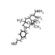 CC(C)=CCN(CC(C)(C)CC(C)CC(N)CN)c1ccc(CCC(C)(C)C)cc1